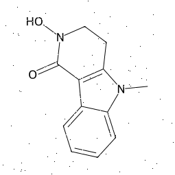 Cn1c2c(c3ccccc31)C(=O)N(O)CC2